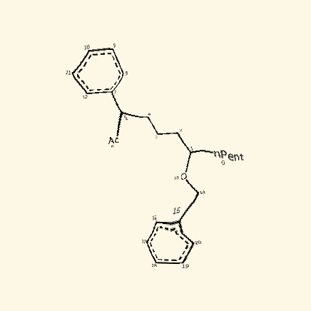 CCCCCC(CCCC(C(C)=O)c1ccccc1)OCc1ccccc1